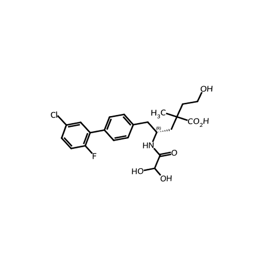 CC(CCO)(C[C@@H](Cc1ccc(-c2cc(Cl)ccc2F)cc1)NC(=O)C(O)O)C(=O)O